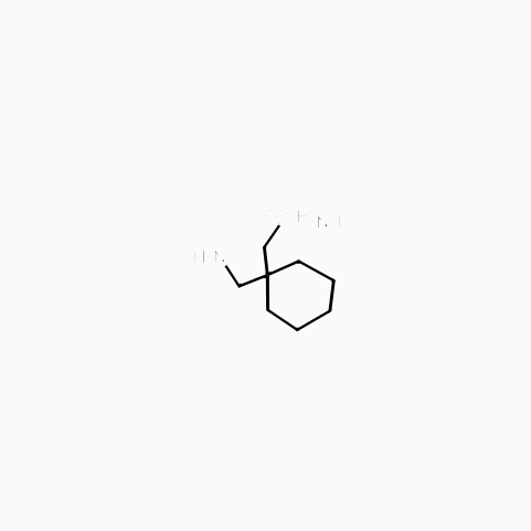 N.NCC1(CC(=O)O)CCCCC1